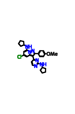 COc1ccc(-c2nn3c(NC4CCCC4)cc(Cl)cc3c2-c2ccnc(NC3CCCC3)n2)cc1